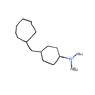 CCCC[N+](CCCC)C1CCC(CC2CC[CH]CC2)CC1